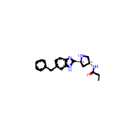 CCC(=O)N[C@H]1CN[C@H](c2nc3ccc(Cc4ccccc4)cc3[nH]2)C1